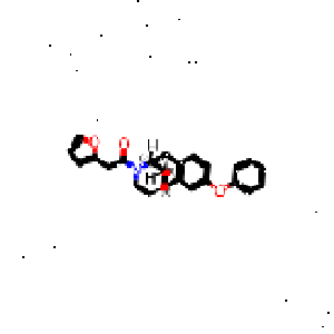 O=C(Cc1ccco1)N1CC[C@]23CCCC[C@H]2[C@H]1Cc1ccc(Oc2ccccc2)cc13